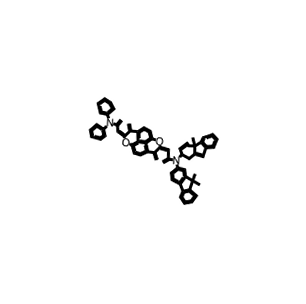 C=CC(CC1=Cc2ccccc2C1(C)C)N(C(=C)/C=C1/Oc2ccc3c4c(ccc(c24)C1=C)O/C(=C/C(=C)N(c1ccccc1)c1ccccc1)C3=C)c1ccc2c(c1)C(C)(C)c1ccccc1-2